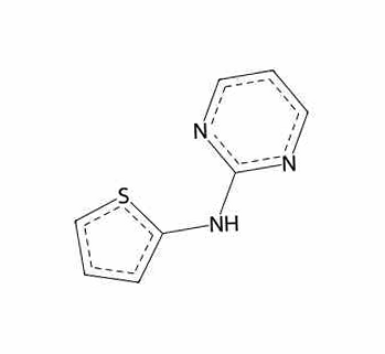 c1cnc(Nc2cccs2)nc1